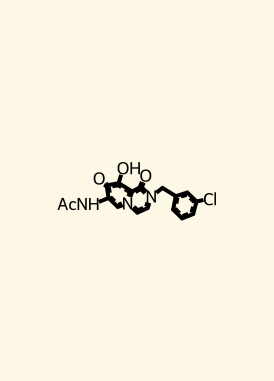 CC(=O)Nc1cn2ccn(Cc3cccc(Cl)c3)c(=O)c2c(O)c1=O